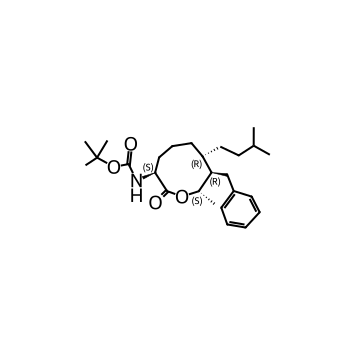 CC(C)CC[C@H]1CCC[C@H](NC(=O)OC(C)(C)C)C(=O)O[C@@H](C)[C@@H]1Cc1ccccc1